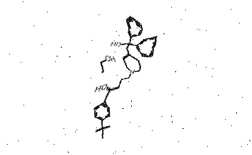 CC(C)(C)c1ccc(C(O)CCCN2CCC(C(O)(c3ccccc3)c3ccccc3)CC2)cc1.CCO